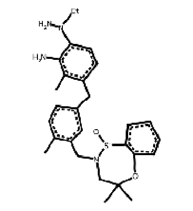 CCN(N)c1ccc(Cc2ccc(C)c(CN3CC(C)(C)Oc4ccccc4[S+]3[O-])c2)c(C)c1N